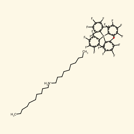 CCCCCCCCCC[NH2+]CCCCCCCCCC.Fc1c(F)c(F)c([B-](c2c(F)c(F)c(F)c(F)c2F)(c2c(F)c(F)c(F)c(F)c2F)c2c(F)c(F)c(F)c(F)c2F)c(F)c1F